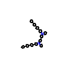 c1ccc(-c2ccc(-c3ccc(-c4ccc(N(c5ccccc5)c5ccc(-c6ccc(N(c7ccccc7)c7ccc(-c8ccc(-c9ccc(-c%10ccccc%10)cc9)cc8)cc7)cc6)cc5)cc4)cc3)cc2)cc1